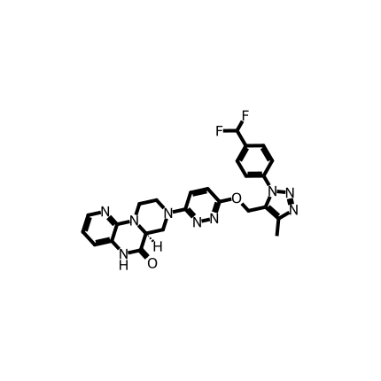 Cc1nnn(-c2ccc(C(F)F)cc2)c1COc1ccc(N2CCN3c4ncccc4NC(=O)[C@@H]3C2)nn1